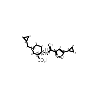 O=C(N[C@H]1CCN(CC2CC2)C[C@@H]1C(=O)O)c1cc(C2CC2)on1